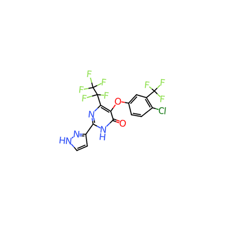 O=c1[nH]c(-c2cc[nH]n2)nc(C(F)(F)C(F)(F)F)c1Oc1ccc(Cl)c(C(F)(F)F)c1